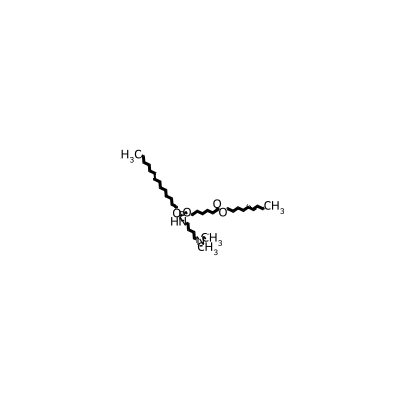 CCCCCCCCCCCCCCOP(NCCCCN(C)C)OCCCCCC(=O)OCCCCCCCCC